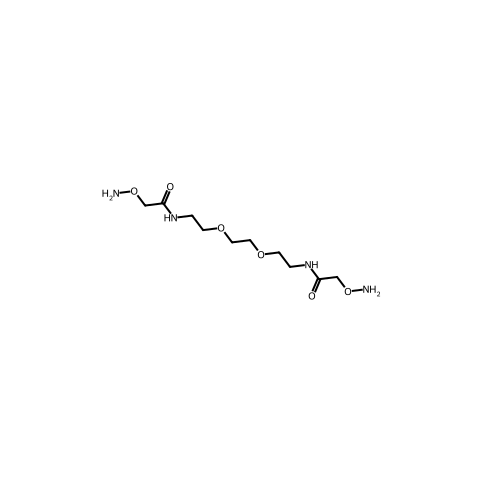 NOCC(=O)NCCOCCOCCNC(=O)CON